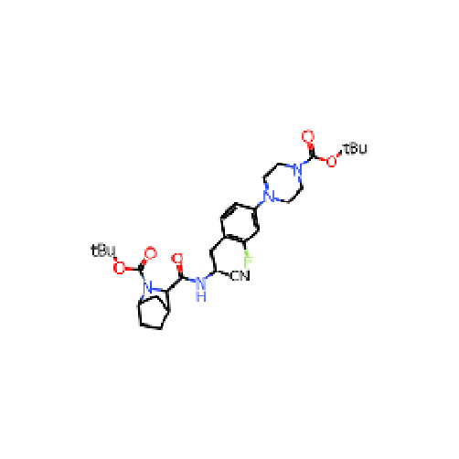 CC(C)(C)OC(=O)N1CCN(c2ccc(C[C@@H](C#N)NC(=O)C3C4CCC(C4)N3C(=O)OC(C)(C)C)c(F)c2)CC1